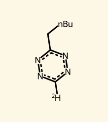 [2H]c1nnc(CCCCC)nn1